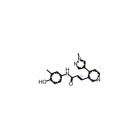 Cc1cc(NC(=O)/C=C/c2cnccc2-c2cnn(C)c2)ccc1O